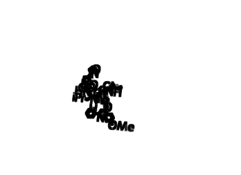 C=C[C@@H]1C[C@]1(NC(=O)[C@@H]1C[C@@H](Oc2cc(-c3ccccc3)nc3cc(OC)ccc23)CN1C(=O)NC(CNS(=O)(=O)c1ccc(-c2ccon2)s1)CC(C)C)C(=O)O